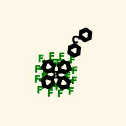 Fc1c(F)c(F)c([B-](c2c(F)c(F)c(F)c(F)c2F)(c2c(F)c(F)c(F)c(F)c2F)c2c(F)c(F)c(F)c(F)c2F)c(F)c1F.c1ccc([CH+]c2ccccc2)cc1